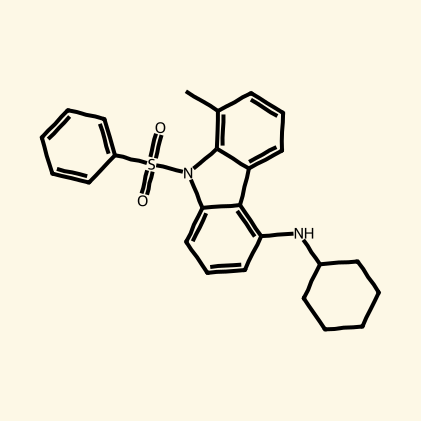 Cc1cccc2c3c(NC4CCCCC4)cccc3n(S(=O)(=O)c3ccccc3)c12